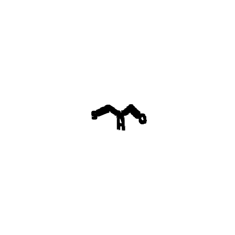 O=CNC=S